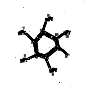 [CH2]c1c(CCC)c(CCC)c(CCC)c(CCC)c1CCC